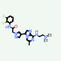 CCN(CC)CCNc1nc(C)cn2c(-c3cnn(CC(=O)Nc4cccc(F)c4F)c3)cnc12